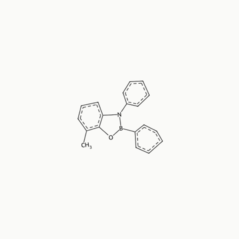 Cc1cccc2c1OB(c1ccccc1)N2c1ccccc1